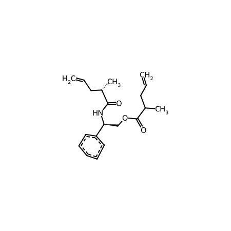 C=CCC(C)C(=O)OC[C@H](NC(=O)[C@@H](C)CC=C)c1ccccc1